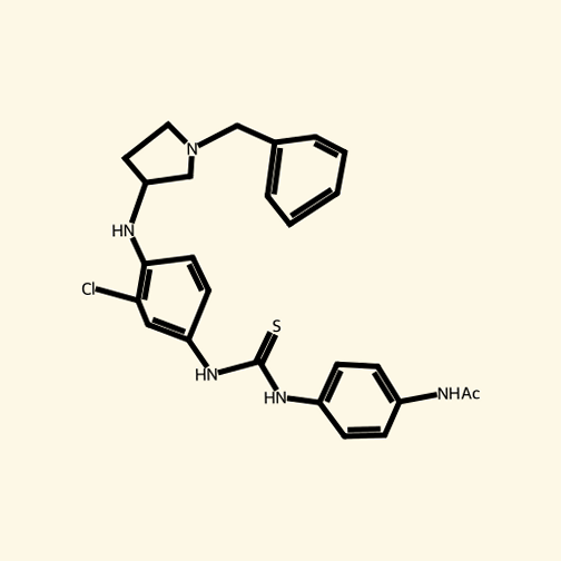 CC(=O)Nc1ccc(NC(=S)Nc2ccc(NC3CCN(Cc4ccccc4)C3)c(Cl)c2)cc1